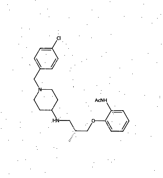 CC(=O)Nc1ccccc1OC[C@H](C)CNC1CCN(Cc2ccc(Cl)cc2)CC1